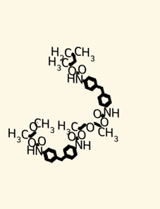 C=C(C)CC(C)OC(=O)Nc1ccc(Cc2ccc(NC(=O)OC(C)COCC(C)OC(=O)Nc3ccc(Cc4ccc(NC(=O)OC(C)COC)cc4)cc3)cc2)cc1